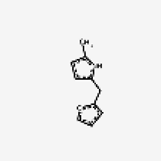 Cc1ccc(Cc2ccco2)[nH]1